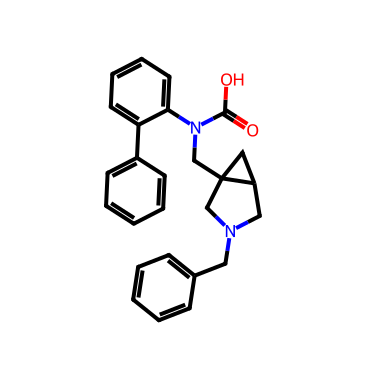 O=C(O)N(CC12CC1CN(Cc1ccccc1)C2)c1ccccc1-c1ccccc1